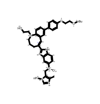 CCCCOCCOc1ccc(-c2ccc3c(c2)/C=C(/c2nc4cc([S@+]([O-])Cc5c(C)ncn5CCC)ccc4[nH]2)CCCN3CCO)cc1